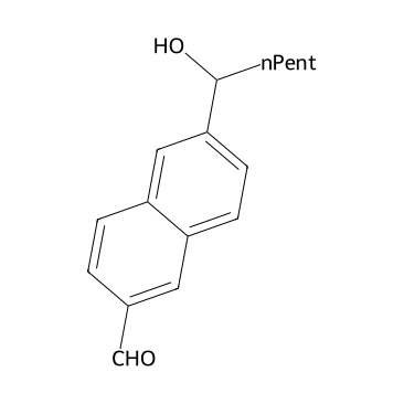 CCCCCC(O)c1ccc2cc(C=O)ccc2c1